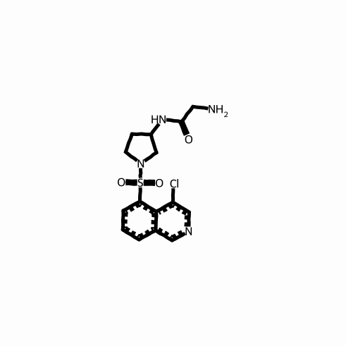 NCC(=O)NC1CCN(S(=O)(=O)c2cccc3cncc(Cl)c23)C1